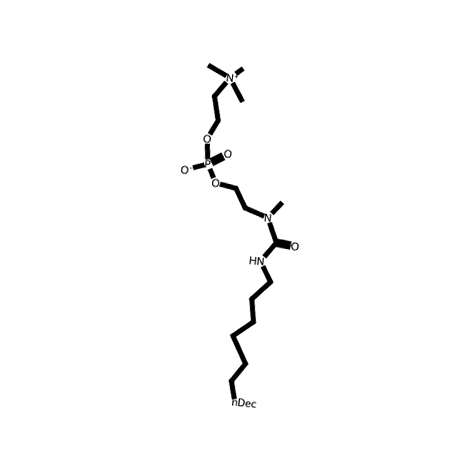 CCCCCCCCCCCCCCCCNC(=O)N(C)CCOP(=O)([O-])OCC[N+](C)(C)C